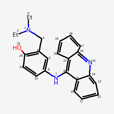 CCN(CC)Cc1cc(Nc2c3ccccc3nc3ccccc23)ccc1O